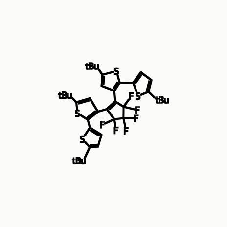 CC(C)(C)c1ccc(-c2sc(C(C)(C)C)cc2C2=C(c3cc(C(C)(C)C)sc3-c3ccc(C(C)(C)C)s3)C(F)(F)C(F)(F)C2(F)F)s1